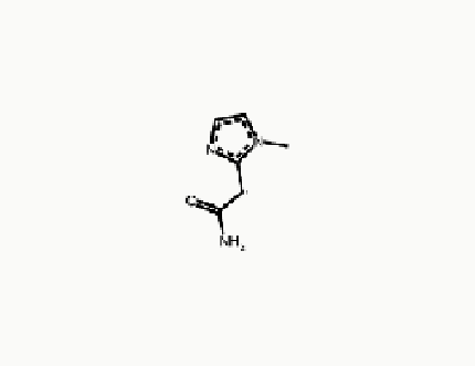 Cn1ccnc1[CH]C(N)=O